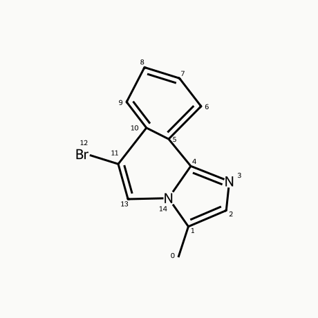 Cc1cnc2c3ccccc3c(Br)cn12